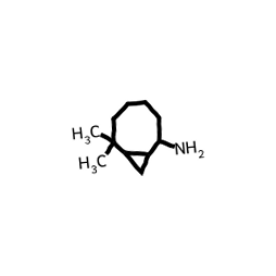 CC1(C)CCCCC(N)C2CC21